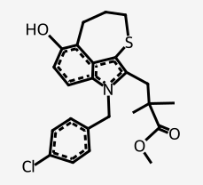 COC(=O)C(C)(C)Cc1c2c3c(c(O)ccc3n1Cc1ccc(Cl)cc1)CCCS2